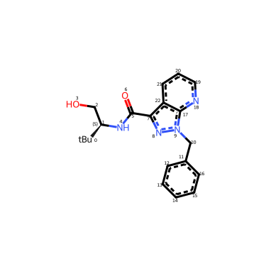 CC(C)(C)[C@@H](CO)NC(=O)c1nn(Cc2ccccc2)c2ncccc12